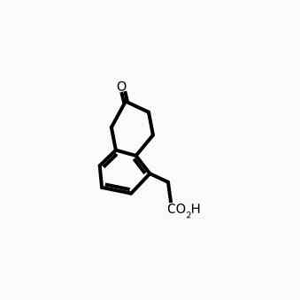 O=C(O)Cc1cccc2c1CCC(=O)C2